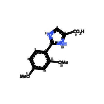 COc1ccc(-c2ncc(C(=O)O)[nH]2)c(OC)c1